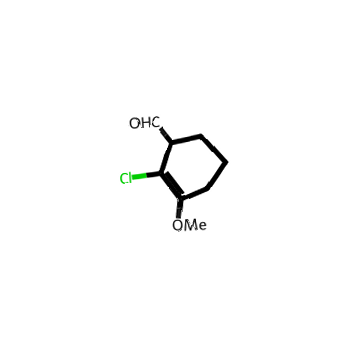 COC1=C(Cl)C(C=O)CCC1